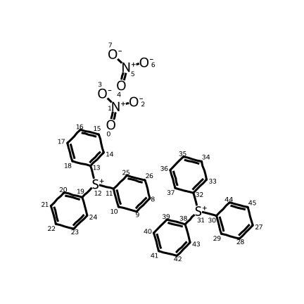 O=[N+]([O-])[O-].O=[N+]([O-])[O-].c1ccc([S+](c2ccccc2)c2ccccc2)cc1.c1ccc([S+](c2ccccc2)c2ccccc2)cc1